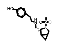 CS(=O)(=O)N1CC2CC2[C@@H]1CNCCc1ccc(O)cc1